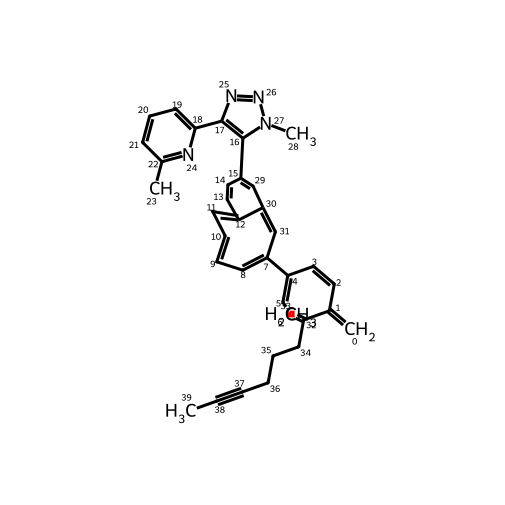 C=C(\C=C/C(=C\C)C1=C/C=C/C=c2\ccc(-c3c(-c4cccc(C)n4)nnn3C)c\c2=C\1)C(=C)CCCC#CC